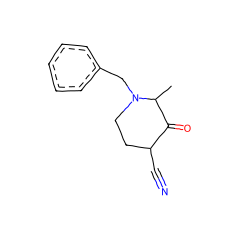 CC1C(=O)C(C#N)CCN1Cc1ccccc1